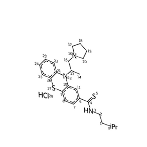 CC(C)CCNC(=S)c1ccc2c(c1)N(C(C)CN1CCCC1)c1ccccc1S2.Cl